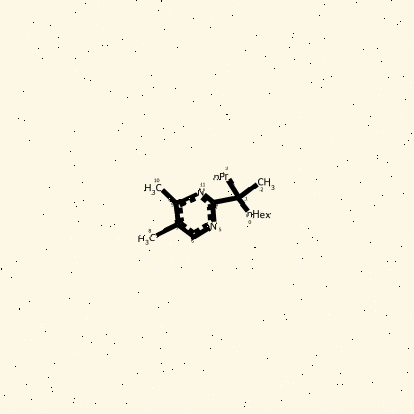 CCCCCCC(C)(CCC)c1ncc(C)c(C)n1